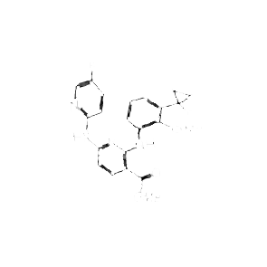 COC(=O)c1ccc(Nc2ccc(F)cn2)nc1Nc1cccc(C2(F)CC2)c1OC